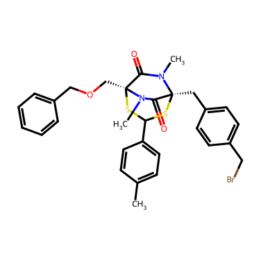 Cc1ccc(C2S[C@@]3(COCc4ccccc4)C(=O)N(C)[C@@](Cc4ccc(CBr)cc4)(S2)C(=O)N3C)cc1